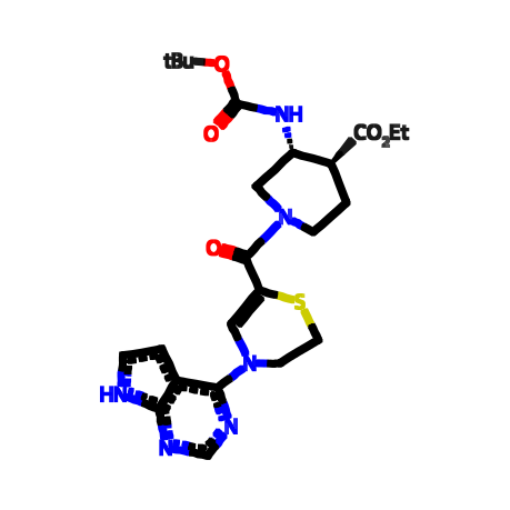 CCOC(=O)[C@H]1CCN(C(=O)C2=CN(c3ncnc4[nH]ccc34)CCS2)C[C@@H]1NC(=O)OC(C)(C)C